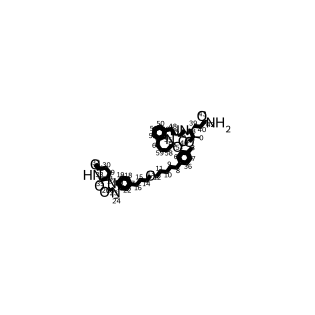 C[C@@H](OCc1ccc(CCCCCOCCCc2ccc3c(c2)n(C)c(=O)n3C2CCC(=O)NC2=O)cc1)[C@H](CCC(N)=O)NC(=O)[C@@H]1Cc2cccc3c2N1C(=O)CCC3